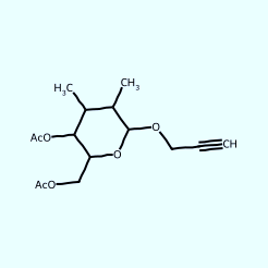 C#CCOC1OC(COC(C)=O)C(OC(C)=O)C(C)C1C